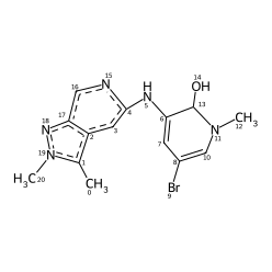 Cc1c2cc(NC3=CC(Br)=CN(C)C3O)ncc2nn1C